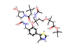 CC(=O)N[C@H](C(=O)N1C[C@H](O)C[C@H]1C(=O)NCc1ccc(-c2scnc2C)cc1OC(C)(C)CCOC(C)(C)CC(=O)OC(C)(C)C)C(C)(C)C